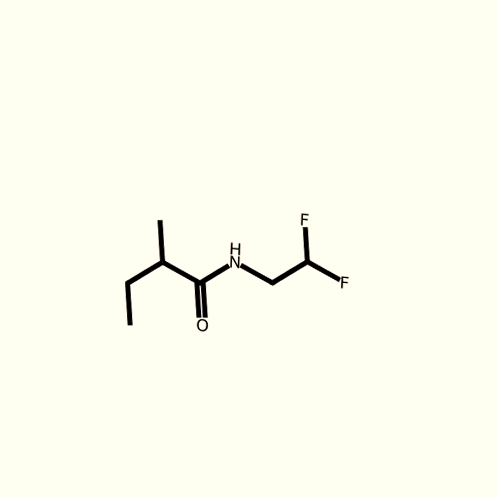 CCC(C)C(=O)NCC(F)F